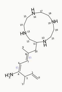 C=CC(C)/C(N)=C\C=C(/C)CC1CNCCNCCNCCN1